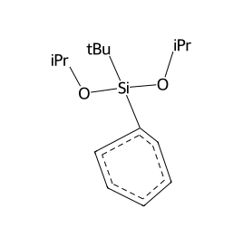 CC(C)O[Si](OC(C)C)(c1ccccc1)C(C)(C)C